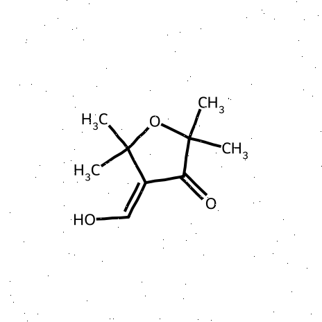 CC1(C)OC(C)(C)/C(=C\O)C1=O